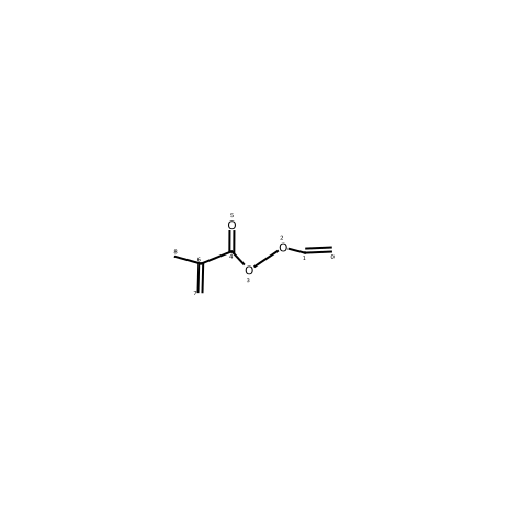 C=COOC(=O)C(=C)C